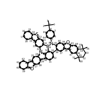 CC(C)(C)c1ccc(N2B3c4cc5sc6ccccc6c5cc4-n4c5cc6c(cc5c5ccc(c3c54)-c3cc4c(cc32)oc2cc3c(cc24)C(C)(C)CCC3(C)C)oc2ccccc26)cc1